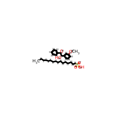 CCCCCCCCCCCCCCCCS(=O)(=O)O.COc1cccc(C(O)C(=O)c2ccccc2)c1